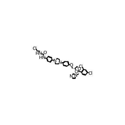 O=C(NCCCl)Nc1ccc(N2CCN(c3ccc(OC[C@@H]4CO[C@@](Cn5ccnc5)(c5ccc(Cl)cc5Cl)O4)cc3)CC2)cc1